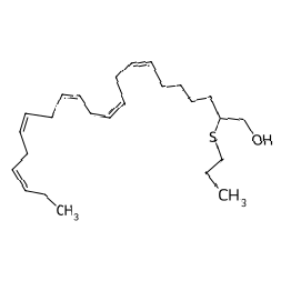 CC/C=C\C/C=C\C/C=C\C/C=C\C/C=C\CCCCC(CO)SCCC